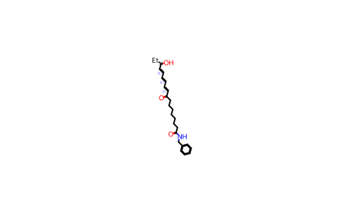 CC[C@@H](O)/C=C/C=C/C=C/C(=O)CCCCCCCC(=O)NCc1ccccc1